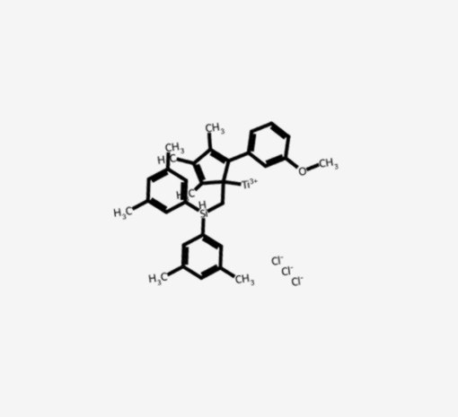 COc1cccc(C2=C(C)C(C)=C(C)[C]2([Ti+3])C[SiH](c2cc(C)cc(C)c2)c2cc(C)cc(C)c2)c1.[Cl-].[Cl-].[Cl-]